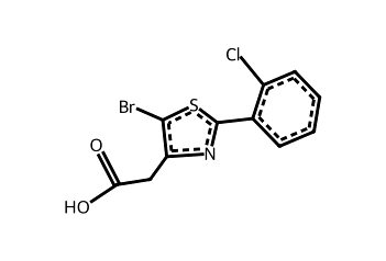 O=C(O)Cc1nc(-c2ccccc2Cl)sc1Br